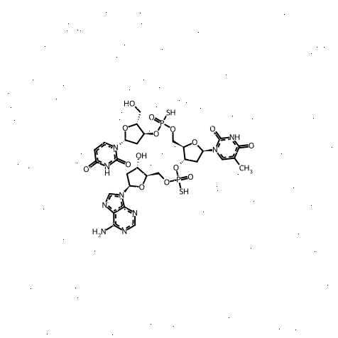 Cc1cn([C@H]2C[C@H](OP(=O)(S)OC[C@H]3O[C@@H](n4cnc5c(N)ncnc54)C[C@@H]3O)[C@@H](COP(=O)(S)O[C@H]3C[C@H](n4ccc(=O)[nH]c4=O)O[C@@H]3CO)O2)c(=O)[nH]c1=O